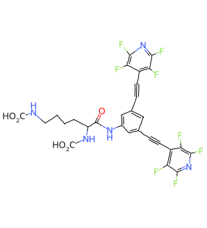 O=C(O)NCCCCC(NC(=O)O)C(=O)Nc1cc(C#Cc2c(F)c(F)nc(F)c2F)cc(C#Cc2c(F)c(F)nc(F)c2F)c1